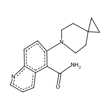 NC(=O)c1c(N2CCC3(CC2)CC3)ccc2ncccc12